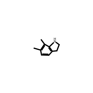 Cc1ccc2c(c1C)NCC2